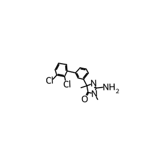 CN1C(=O)C(C)(c2cccc(-c3cccc(Cl)c3Cl)c2)N=C1N